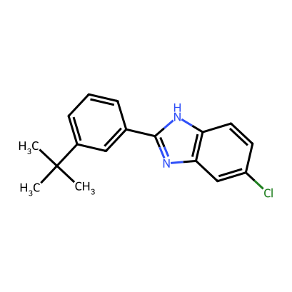 CC(C)(C)c1cccc(-c2nc3cc(Cl)ccc3[nH]2)c1